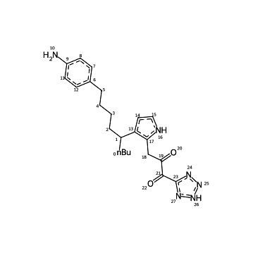 CCCCC(CCCCc1ccc(N)cc1)c1cc[nH]c1CC(=O)C(=O)c1nn[nH]n1